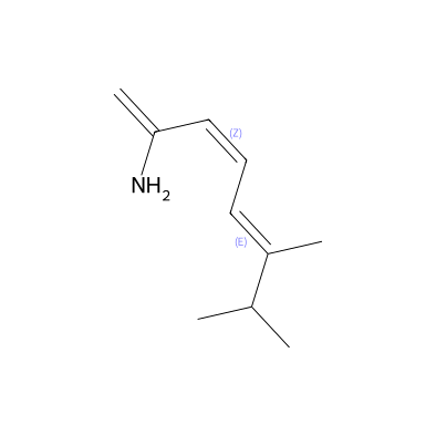 C=C(N)/C=C\C=C(/C)C(C)C